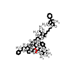 CCCC(CC)(C1CCCCCC1)C1CC(=O)N(CCCCCC(NC(C(=O)NC(CCCNC(N)=O)C(=O)Nc2ccc(COC(=O)N(C)C(C(=O)N[C@H](C(=O)N(C)C(C(C)CC)C(CC(=O)N3CCCC3C(OC)C(C)C(=O)NC(C)C(O)c3ccccc3)OC)C(C)C)C(C)C)cc2)C(C)C)C(F)(F)F)C1=O